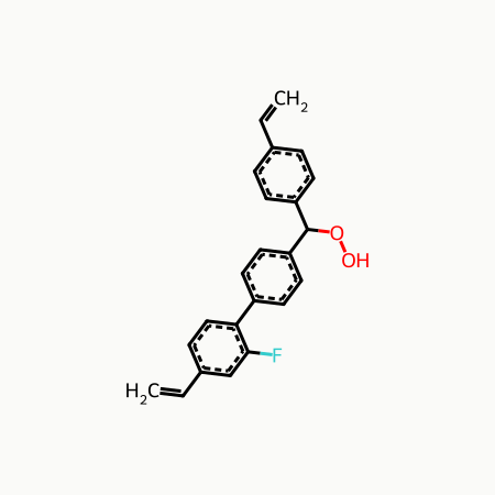 C=Cc1ccc(C(OO)c2ccc(-c3ccc(C=C)cc3F)cc2)cc1